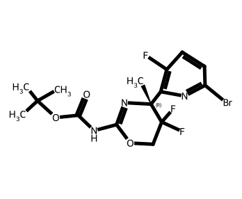 CC(C)(C)OC(=O)NC1=N[C@](C)(c2nc(Br)ccc2F)C(F)(F)CO1